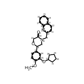 COc1ccc(C2CN(Cc3ccc4ccccc4n3)C(=O)CO2)cc1OC1CCCC1